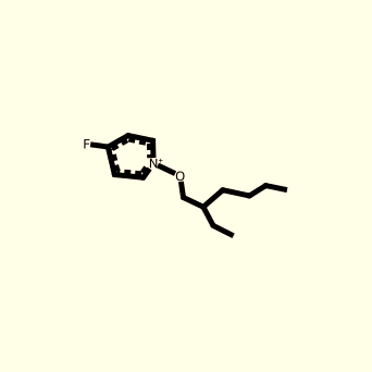 CCCCC(CC)CO[n+]1ccc(F)cc1